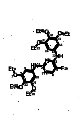 CCOc1cc(Nc2ncc(F)c(Nc3cc(OCC)c(OCC)c(OCC)c3)n2)cc(OCC)c1OCC